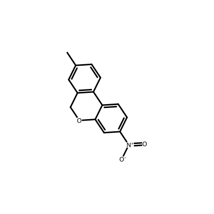 Cc1ccc2c(c1)COc1cc([N+](=O)[O-])ccc1-2